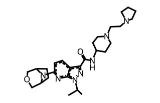 CC(C)n1nc(C(=O)NC2CCN(CCN3CCCC3)CC2)c2ccc(N3C4CCC3COC4)nc21